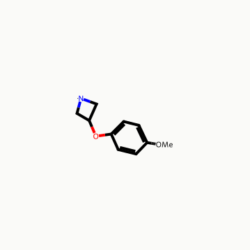 COc1ccc(OC2C[N]C2)cc1